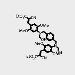 CCOC(=O)/C(C#N)=C/c1cc(OC)c(N(CO)Cc2ccc(CN(CO)c3cc(OC)c(/C=C(\C#N)C(=O)OCC)cc3OC)cc2)cc1OC